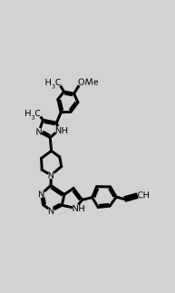 C#Cc1ccc(-c2cc3c(N4CCC(c5nc(C)c(-c6ccc(OC)c(C)c6)[nH]5)CC4)ncnc3[nH]2)cc1